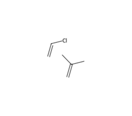 C=C(C)C.C=CCl